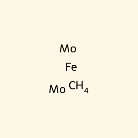 C.[Fe].[Mo].[Mo]